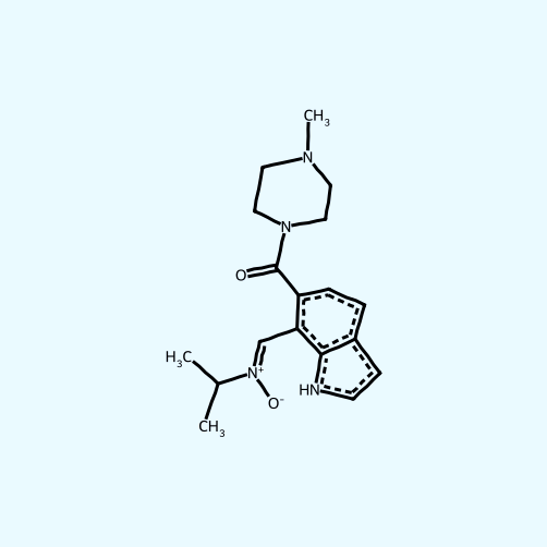 CC(C)/[N+]([O-])=C/c1c(C(=O)N2CCN(C)CC2)ccc2cc[nH]c12